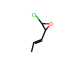 CC=CC1OC1Cl